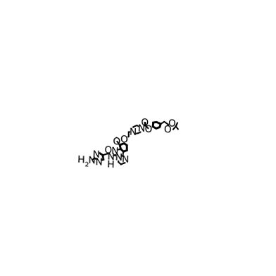 COc1c(OCCN2CCN(C(=O)Oc3ccc(CC(=O)OC(C)(C)C)cc3)CC2)ccc2c1N=C(NC(=O)c1cnc(N)nc1)N1CCCN=C21